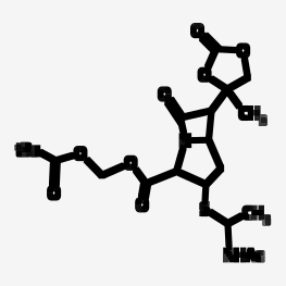 CC(=O)NC(C)SC1CC2C(C3(C)COC(=O)O3)C(=O)N2C1C(=O)OCOC(=O)C(C)(C)C